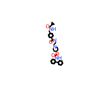 CN(CCN1CCC(OC(=O)Nc2ccccc2-c2ccccc2)CC1)C(=O)c1ccc(CNC(=O)C2CC2)cc1